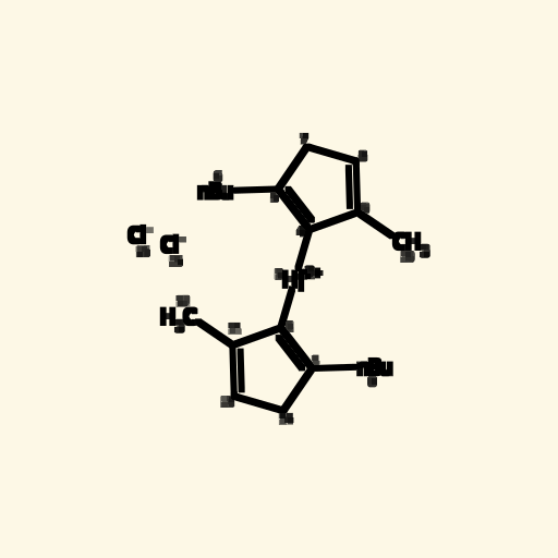 CCCCC1=[C]([Hf+2][C]2=C(CCCC)CC=C2C)C(C)=CC1.[Cl-].[Cl-]